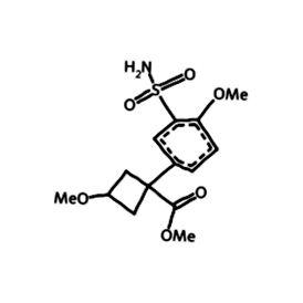 COC(=O)C1(c2ccc(OC)c(S(N)(=O)=O)c2)CC(OC)C1